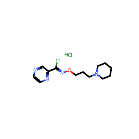 Cl.Cl/C(=N\OCCCN1CCCCC1)c1cnccn1